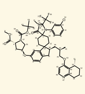 COC(=O)[C@H]1C[C@H](Oc2ccc3c(c2)C2(CCC(C(=O)OC)(N(C(=O)C(F)(F)F)c4cccc(Cl)c4)CC2)[C@@H](C[C@@H](C)COc2ccnc4c2[C@H](C)CCC4)C3)CN1C(=O)OC(C)(C)C